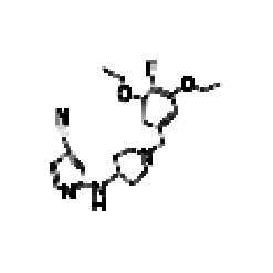 CCOc1cc(CN2CCC(Nc3cc(C#N)ccn3)CC2)cc(OCC)c1F